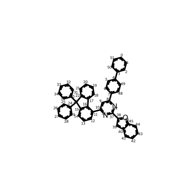 c1ccc(-c2ccc(-c3cc(-c4cccc5c4-c4ccccc4C5(c4ccccc4)c4ccccc4)nc(-c4cc5ccccc5o4)n3)cc2)cc1